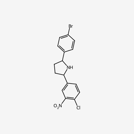 O=[N+]([O-])c1cc(C2CCC(c3ccc(Br)cc3)N2)ccc1Cl